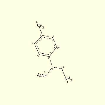 CC(=O)NC(CN)c1ccc(C(F)(F)F)cc1